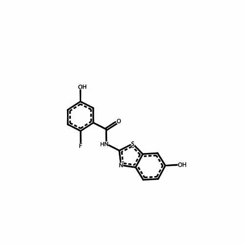 O=C(Nc1nc2ccc(O)cc2s1)c1cc(O)ccc1F